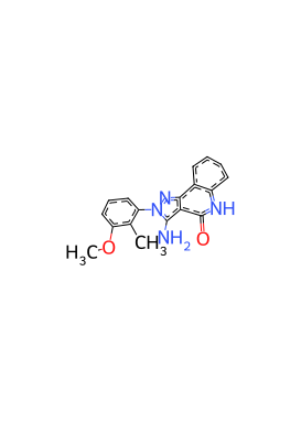 COc1cccc(-n2nc3c(c2N)c(=O)[nH]c2ccccc23)c1C